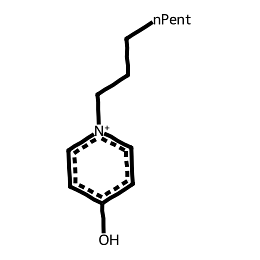 CCCCCCCC[n+]1ccc(O)cc1